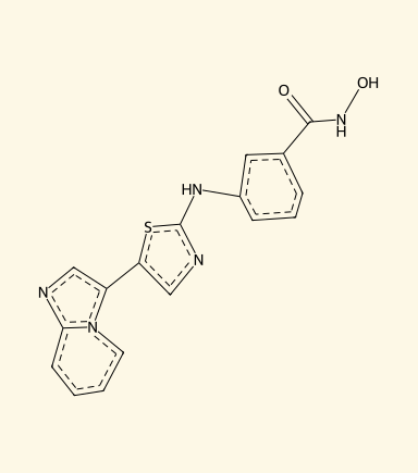 O=C(NO)c1cccc(Nc2ncc(-c3cnc4ccccn34)s2)c1